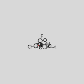 O=S(=O)(c1ccc(Cl)cc1)[C@]12CCC[C@H](OCC3CC3)[C@H]1COc1c(F)ccc(F)c12